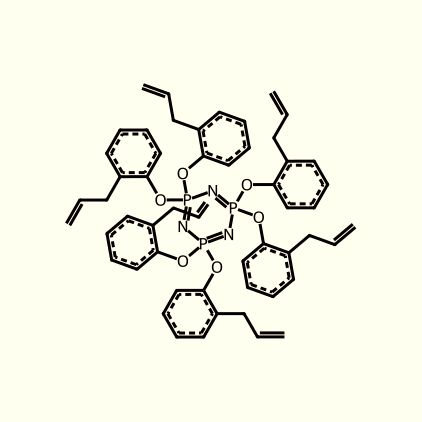 C=CCc1ccccc1OP1(Oc2ccccc2CC=C)=NP(Oc2ccccc2CC=C)(Oc2ccccc2CC=C)=NP(Oc2ccccc2CC=C)(Oc2ccccc2CC=C)=N1